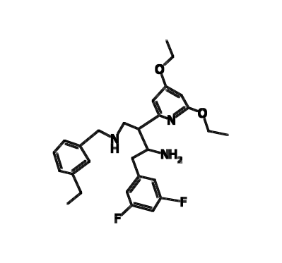 CCOc1cc(OCC)nc(C(CNCc2cccc(CC)c2)C(N)Cc2cc(F)cc(F)c2)c1